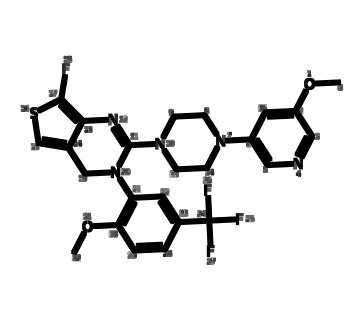 COc1cncc(N2CCN(C3=Nc4c(csc4F)CN3c3cc(C(F)(F)F)ccc3OC)CC2)c1